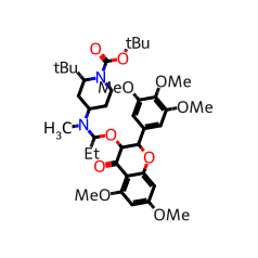 CCC(OC1C(=O)c2c(OC)cc(OC)cc2OC1c1cc(OC)c(OC)c(OC)c1)N(C)C1CCN(C(=O)OC(C)(C)C)C(C(C)(C)C)C1